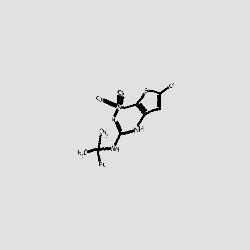 CCC(C)(C)NC1=NS(=O)(=O)c2sc(Cl)cc2N1